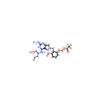 CCC[C@@H](CO)Nc1nc(N)nc2cn(Cc3c(OC)cccc3OCOC(=O)C(F)(F)F)nc12